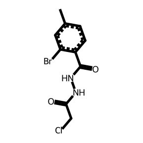 Cc1ccc(C(=O)NNC(=O)CCl)c(Br)c1